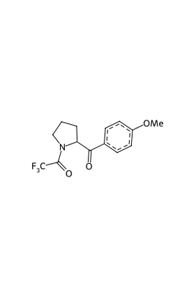 COc1ccc(C(=O)C2CCCN2C(=O)C(F)(F)F)cc1